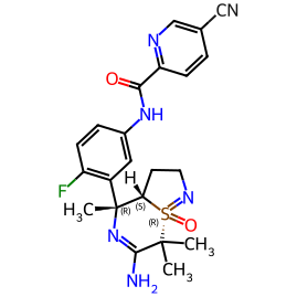 CC1(C)C(N)=N[C@](C)(c2cc(NC(=O)c3ccc(C#N)cn3)ccc2F)[C@@H]2CCN=[S@@]21=O